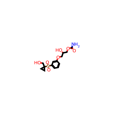 NC(=O)OCC(O)COc1cccc(S(=O)(=O)C2(CO)CC2)c1